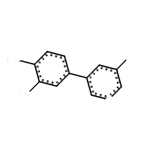 CCOC(=O)c1cncc(-c2ccc(N)c(N)c2)c1